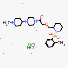 Cc1ccccc1S(=O)(=O)N1CCCCC1COCC(=O)N1CCN(C2CCN(C)CC2)CC1.Cl.Cl